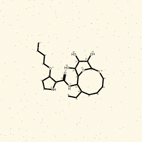 CCCCOC1CCNC1C(=O)NC1C(CC)CCCCSC2OC1C(O)C(O)C2O